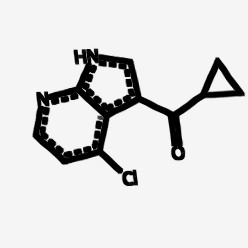 O=C(c1c[nH]c2nccc(Cl)c12)C1CC1